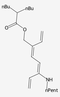 C=C/C(=C\C=C(/C=C)NCCCCC)COC(=O)C(CCCC)CCCC